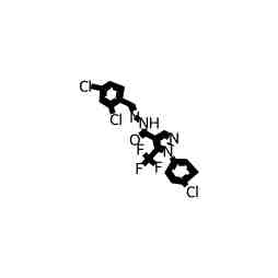 O=C(NN=Cc1ccc(Cl)cc1Cl)c1cnn(-c2ccc(Cl)cc2)c1C(F)(F)F